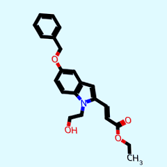 CCOC(=O)/C=C/c1cc2cc(OCc3ccccc3)ccc2n1CCO